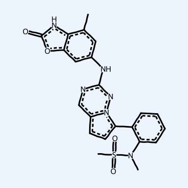 Cc1cc(Nc2ncc3ccc(-c4ccccc4N(C)S(C)(=O)=O)n3n2)cc2oc(=O)[nH]c12